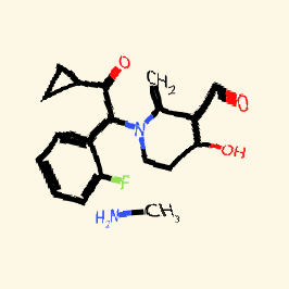 C=C1C(C=O)C(O)CCN1C(C(=O)C1CC1)c1ccccc1F.CN